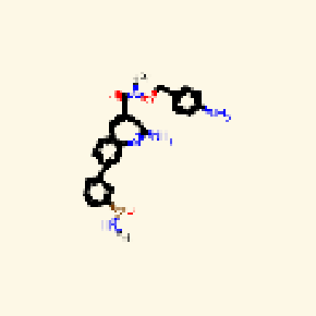 CCCN(OCc1ccc(N)cc1)C(=O)C1=Cc2ccc(-c3cccc([S+]([O-])NCC)c3)cc2N=C(N)C1